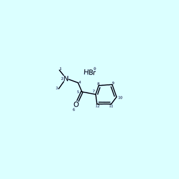 Br.CN(C)CC(=O)c1ccccc1